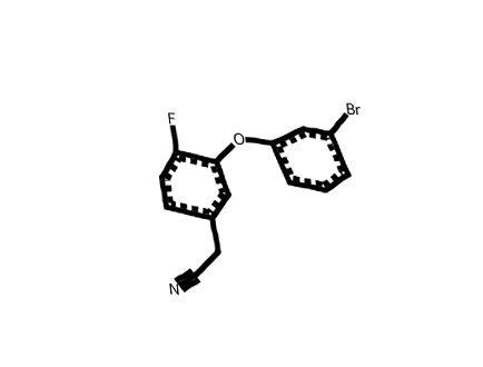 N#CCc1ccc(F)c(Oc2cccc(Br)c2)c1